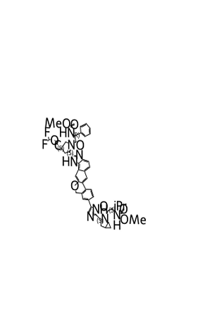 COC(=O)N[C@H](C(=O)N1C2CC2C[C@H]1c1ncc(-c2ccc3c(c2)COc2cc4c(ccc5nc([C@@H]6C[C@H](COC(F)F)CN6C(=O)[C@H](NC(=O)OC)c6ccccc6)[nH]c54)cc2-3)[nH]1)C(C)C